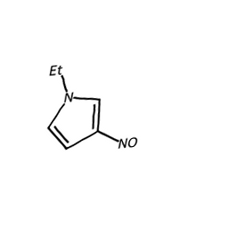 CCn1ccc(N=O)c1